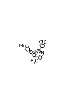 CN(Cc1ccc(C(F)(F)F)c(F)c1)[C@H]1CN(C(=O)COc2ccc(C(C)(C)C)cc2)C[C@@H]1c1ccc(Cl)c(Cl)c1